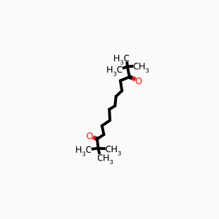 CC(C)(C)C(=O)CCCCCCCCC(=O)C(C)(C)C